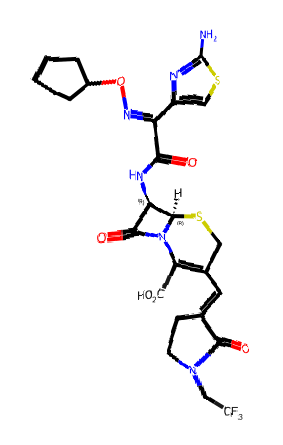 Nc1nc(C(=NOC2CCCC2)C(=O)N[C@@H]2C(=O)N3C(C(=O)O)=C(C=C4CCN(CC(F)(F)F)C4=O)CS[C@H]23)cs1